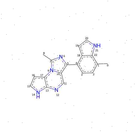 Cc1ccc(-c2nc(C)n3c2cnc2[nH]ccc23)c2cc[nH]c12